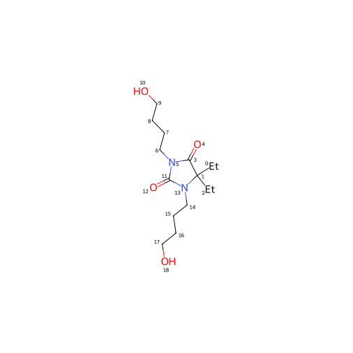 CCC1(CC)C(=O)N(CCCCO)C(=O)N1CCCCO